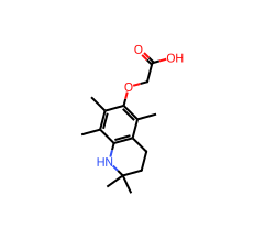 Cc1c(C)c(OCC(=O)O)c(C)c2c1NC(C)(C)CC2